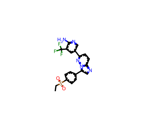 CCS(=O)(=O)c1ccc(-c2cnc3ccc(-c4cnc(N)c(C(F)(F)F)c4)nn23)cc1